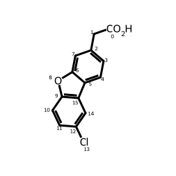 O=C(O)Cc1ccc2c(c1)oc1ccc(Cl)cc12